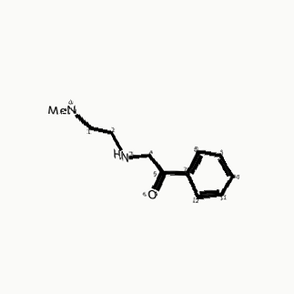 CNCCNCC(=O)c1ccccc1